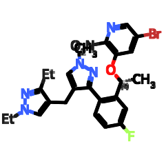 CCc1nn(CC)cc1Cc1cn(C)nc1-c1ccc(F)cc1[C@@H](C)Oc1cc(Br)cnc1[N+](=O)[O-]